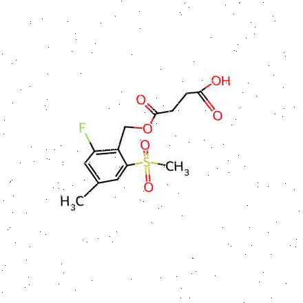 Cc1cc(F)c(COC(=O)CCC(=O)O)c(S(C)(=O)=O)c1